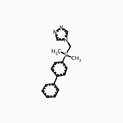 C[Si](C)(Cn1cnnc1)c1ccc(-c2ccccc2)cc1